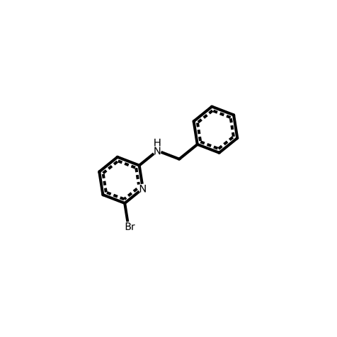 Brc1cccc(NCc2ccccc2)n1